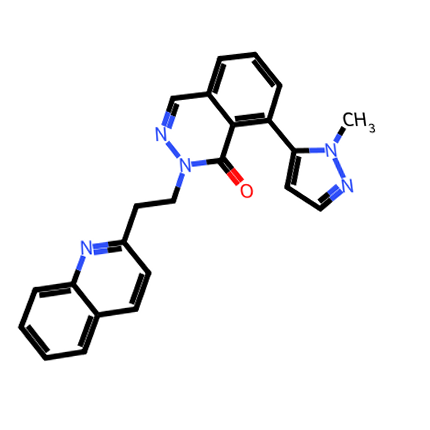 Cn1nccc1-c1cccc2cnn(CCc3ccc4ccccc4n3)c(=O)c12